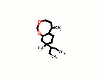 CCC(CC)C1(C)CCC2C(C)CCOCOC2C1